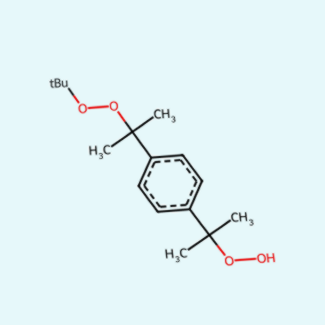 CC(C)(C)OOC(C)(C)c1ccc(C(C)(C)OO)cc1